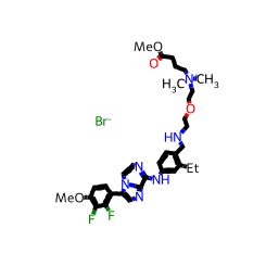 CCc1cc(Nc2nccn3c(-c4ccc(OC)c(F)c4F)cnc23)ccc1CNCCOCC[N+](C)(C)CCCC(=O)OC.[Br-]